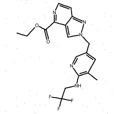 CCOC(=O)c1nccc2nn(Cc3cnc(NCC(F)(F)F)c(C)c3)cc12